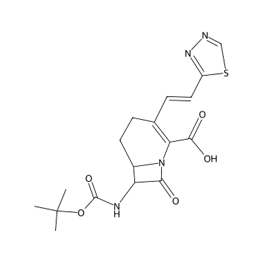 CC(C)(C)OC(=O)NC1C(=O)N2C(C(=O)O)=C(C=Cc3nncs3)CCC12